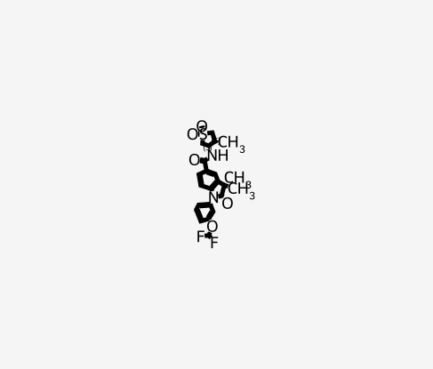 C[C@@H]1CS(=O)(=O)C[C@H]1NC(=O)c1ccc2c(c1)C(C)(C)C(=O)N2c1cccc(OC(F)F)c1